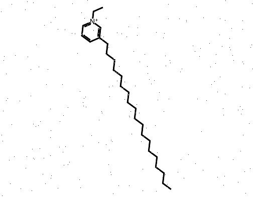 CCCCCCCCCCCCCCCCCCCc1ccc[n+](CC)c1